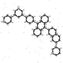 c1cncc(-c2ccc3ccc(-c4c5ccccc5c(-c5ccc(-c6cncc(-c7ccncc7)c6)cc5)c5ccccc45)cc3c2)c1